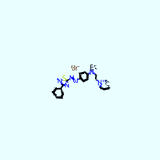 CCN(CC[n+]1ccccc1)c1ccc(/N=N/c2nc(-c3ccccc3)ns2)cc1.[Br-]